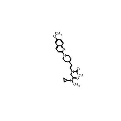 COc1ccc2nc(N3CCC(CCN(CC(=O)N(C)C4CC4)C(=O)O)CC3)ccc2c1